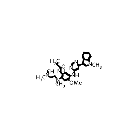 C=CC(=O)Nc1cc(Nc2cc(-c3cn(C)c4ccccc34)ncn2)c(OC)cc1N(C)CCN(C)C